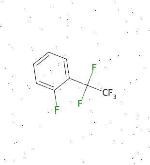 Fc1ccccc1C(F)(F)C(F)(F)F